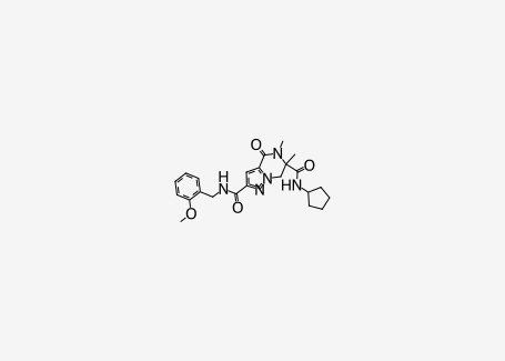 COc1ccccc1CNC(=O)c1cc2n(n1)CC(C)(C(=O)NC1CCCC1)N(C)C2=O